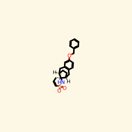 O=S1(=O)C=CC[C@]2(N1)[C@@H]1CC[C@H]2Cc2ccc(OCc3ccccc3)cc2C1